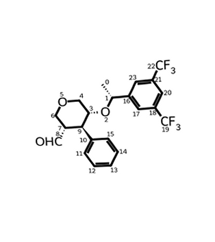 C[C@@H](O[C@H]1COC[C@@H](C=O)[C@@H]1c1ccccc1)c1cc(C(F)(F)F)cc(C(F)(F)F)c1